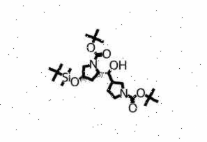 CC(C)(C)OC(=O)N1CCC(C(O)[C@@H]2C[C@@H](O[Si](C)(C)C(C)(C)C)CN2C(=O)OC(C)(C)C)C1